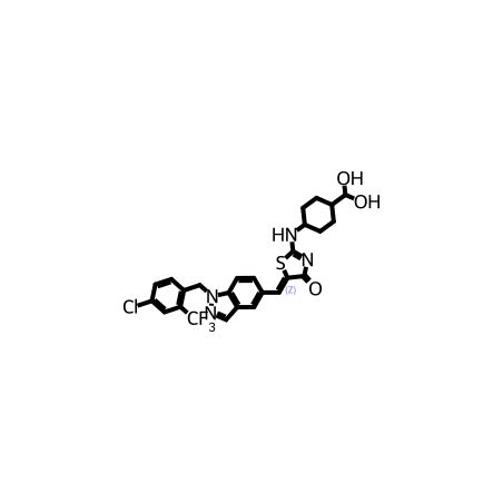 O=C1N=C(NC2CCC(C(O)O)CC2)S/C1=C\c1ccc2c(cnn2Cc2ccc(Cl)cc2C(F)(F)F)c1